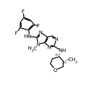 C[C@@H]1COCC[C@@H]1Nc1ncc2nc(Nc3c(F)cc(F)cc3F)n(C)c2n1